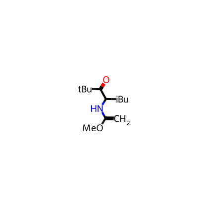 C=C(NC(C(=O)C(C)(C)C)C(C)CC)OC